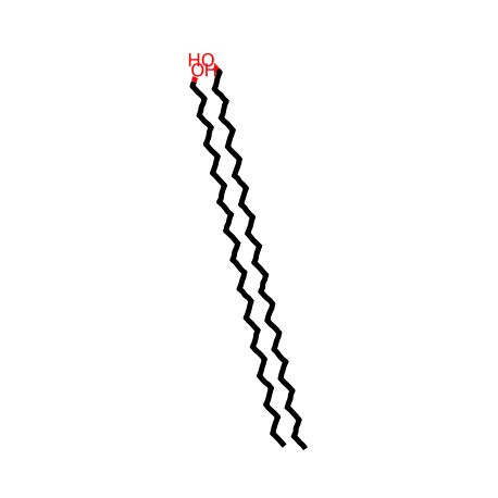 CCCCCCCCCCCCCCCCCCCCCCCCCCCO.CCCCCCCCCCCCCCCCCCCCCCCCCCO